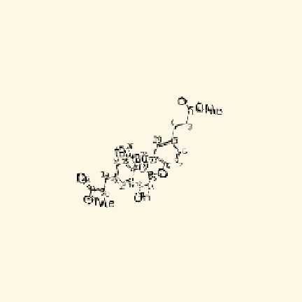 COC(=O)CCc1ccc(OP(CCO)Oc2ccc(CCC(=O)OC)cc2C(C)(C)C)c(C(C)(C)C)c1